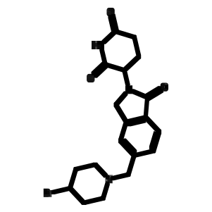 O=C1CCC(N2Cc3cc(CN4CCC(Br)CC4)ccc3C2=O)C(=O)N1